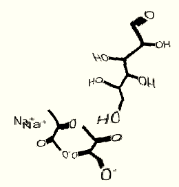 CC(=O)C(=O)[O-].CC(=O)C(=O)[O-].O=CC(O)C(O)C(O)C(O)CO.[Na+].[Na+]